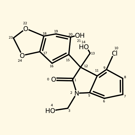 O=C1N(CO)c2cccc(Cl)c2C1(CO)c1cc2c(cc1O)OCO2